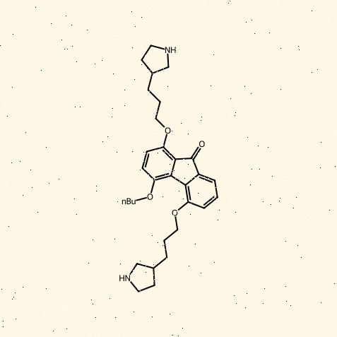 CCCCOc1ccc(OCCCC2CCNC2)c2c1-c1c(OCCCC3CCNC3)cccc1C2=O